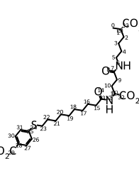 C[C@@H](CCCCNC(=O)CC[C@H](NC(=O)CCCCCCCCCSc1ccc(C(=O)O)cc1)C(=O)O)C(=O)O